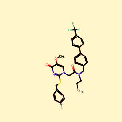 CCCN(Cc1ccc(-c2ccc(C(F)(F)F)cc2)cc1)C(=O)Cn1cc(OC)c(=O)nc1SCc1ccc(F)cc1